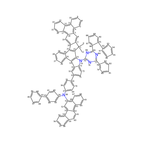 CC1(C)c2cc3c4ccccc4c4ccccc4c3cc2-c2c1c1c(c3ccccc23)c2cc(-c3ccc(N(c4ccc(-c5ccccc5)cc4)c4cc5c6ccccc6ccc5c5ccccc45)cc3)ccc2n1-c1nc(-c2ccccc2)nc(-c2ccccc2-c2ccccc2)n1